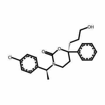 C[C@@H](c1ccc(Cl)cc1)N1CC[C@](CCCO)(c2ccccc2)OC1=O